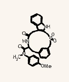 COc1ccc(N(C)C(=O)C2Cc3cccc(c3)CS(=O)(=O)Cc3[nH]c4ccccc4c3CC(=O)N2)cc1